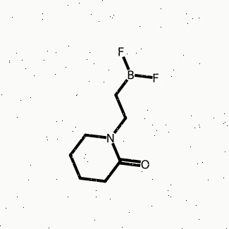 O=C1CCCCN1CCB(F)F